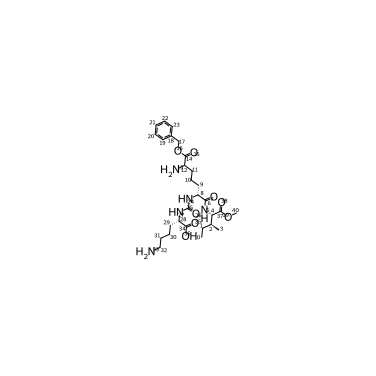 CC[C@H](C)[C@H](NC(=O)[C@@H](CCCC(N)C(=O)OCc1ccccc1)NC(=O)N[C@@H](CCCCN)C(=O)O)C(=O)OC